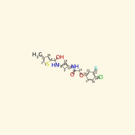 Cc1csc(C(O)NC23CC(NC(=O)COc4ccc(Cl)c(F)c4)(C2)C3)c1